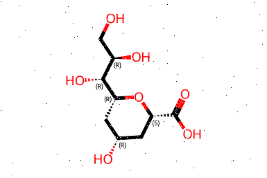 O=C(O)[C@@H]1C[C@H](O)C[C@H]([C@H](O)[C@H](O)CO)O1